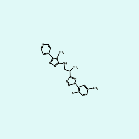 Cc1ccc(F)c(-n2nnc(C(C)CNc3nnc(-c4ccncc4)n3C)n2)c1